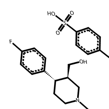 CN1CC[C@H](c2ccc(F)cc2)[C@@H](CO)C1.Cc1ccc(S(=O)(=O)O)cc1